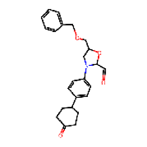 O=CC1OC(COCc2ccccc2)CN1c1ccc(C2CCC(=O)CC2)cc1